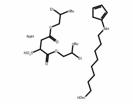 CCCCC(CC)COC(=O)CC(C(=O)OCC(CC)CCCC)S(=O)(=O)O.CCCCCCCCCCCCCCCCC[CH2][AlH][C]1=CC=CC1.[NaH]